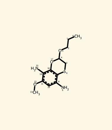 CCCOC1CSc2c(N)cc(OC)c(N)c2O1